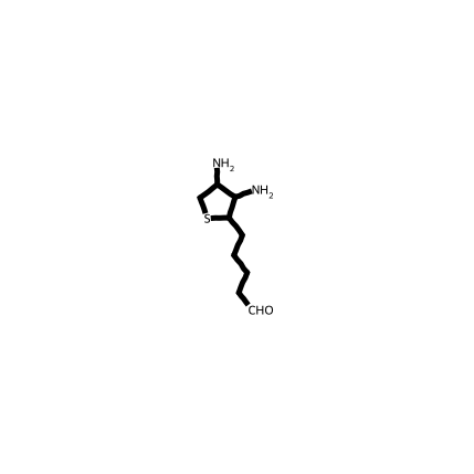 NC1CSC(CCCCC=O)C1N